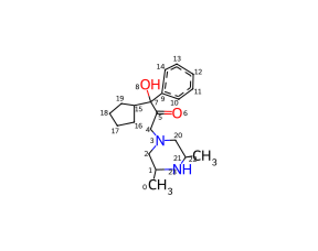 CC1CN(CC(=O)C(O)(c2ccccc2)C2CCCC2)CC(C)N1